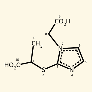 CC(Sc1nccn1CC(=O)O)C(=O)O